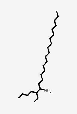 CCCCCCCCCCCCCCCCCC(N)C(CC)CCCC